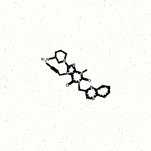 CC#CCn1c(N2CCCC(N)C2)nc2c1c(=O)n(Cc1cnc3ccccc3n1)c(=O)n2C